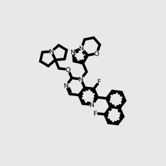 Fc1c(-c2cccc3cccc(F)c23)ncc2c1N(Cc1cnn3c1OCCC3)C(OCC13CCCN1CCC3)N=C2